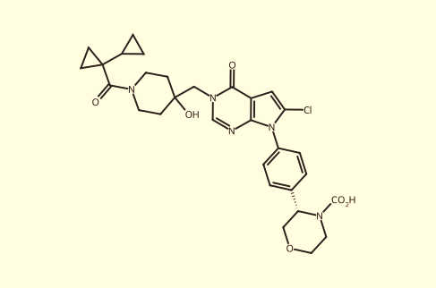 O=C(O)N1CCOC[C@@H]1c1ccc(-n2c(Cl)cc3c(=O)n(CC4(O)CCN(C(=O)C5(C6CC6)CC5)CC4)cnc32)cc1